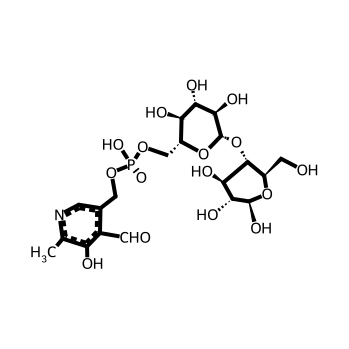 Cc1ncc(COP(=O)(O)OC[C@H]2O[C@@H](O[C@H]3[C@H](O)[C@@H](O)[C@H](O)O[C@@H]3CO)[C@H](O)[C@@H](O)[C@@H]2O)c(C=O)c1O